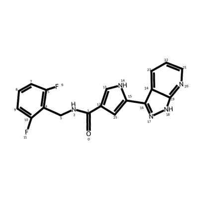 O=C(NCc1c(F)cccc1F)c1c[nH]c(-c2n[nH]c3ncccc23)c1